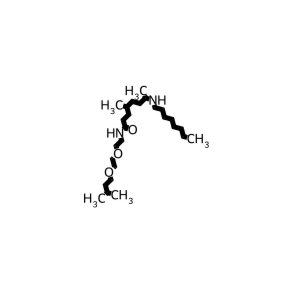 CCCCCCCCNC(C)CCC(C)CCC(=O)NCCOCCOCCC(C)C